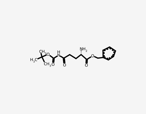 CC(C)(C)OC(=O)NC(=O)CC[C@H](N)C(=O)OCc1ccccc1